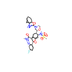 CNC(=O)c1c(-c2ccc(F)cc2)oc2cc(N(C)S(C)(=O)=O)c(C3CN(c4nc5ccccc5o4)CCO3)cc12